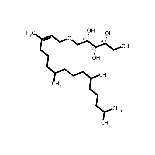 CC(=CCOC[C@H](O)[C@@H](O)[C@H](O)CO)CCCC(C)CCCC(C)CCCC(C)C